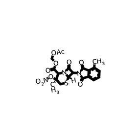 CC(=O)OCOC(=O)C1N2C(=O)C(N3C(=O)c4cccc(C)c4C3=O)[C@@H]2SC[C@@]1(C)O[N+](=O)[O-]